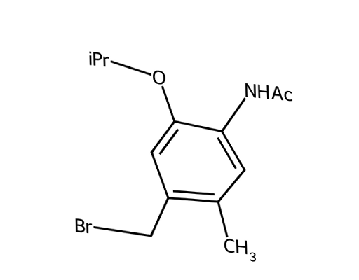 CC(=O)Nc1cc(C)c(CBr)cc1OC(C)C